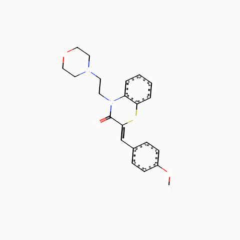 COc1ccc(C=C2Sc3ccccc3N(CCN3CCOCC3)C2=O)cc1